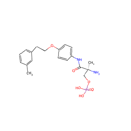 Cc1cccc(CCOc2ccc(NC(=O)[C@@](C)(N)COP(=O)(O)O)cc2)c1